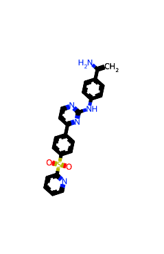 C=C(N)c1ccc(Nc2nccc(-c3ccc(S(=O)(=O)c4ccccn4)cc3)n2)cc1